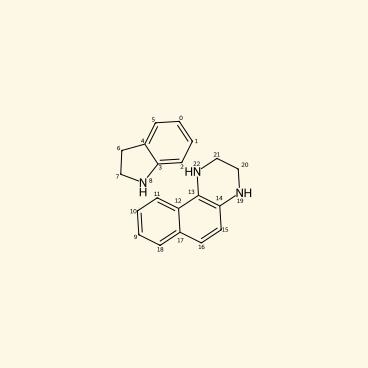 c1ccc2c(c1)CCN2.c1ccc2c3c(ccc2c1)NCCN3